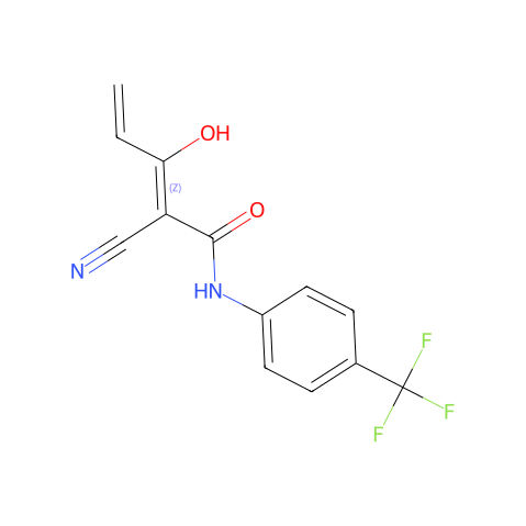 C=C/C(O)=C(\C#N)C(=O)Nc1ccc(C(F)(F)F)cc1